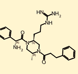 C[C@@H]1CN(C(=O)[C@H](N)c2ccccc2)[C@@H](CCCNC(=N)N)CN1C(=O)CCc1ccccc1